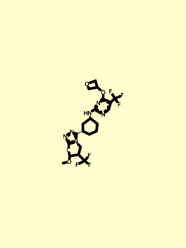 COC1Cc2nnc([C@H]3CCC[C@@H](Nc4ncc(C(F)(F)F)c(OC5COC5)n4)C3)n2CC1C(F)(F)F